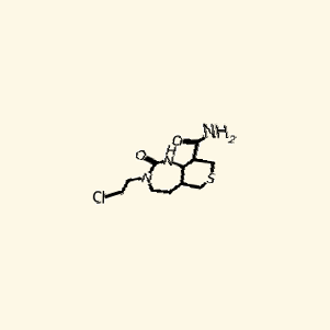 NC(=O)C1CSCC2CCN(CCCl)C(=O)NC21